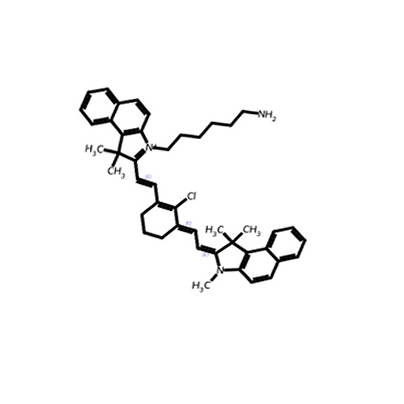 CN1/C(=C/C=C2\CCCC(/C=C/C3=[N+](CCCCCCN)c4ccc5ccccc5c4C3(C)C)=C2Cl)C(C)(C)c2c1ccc1ccccc21